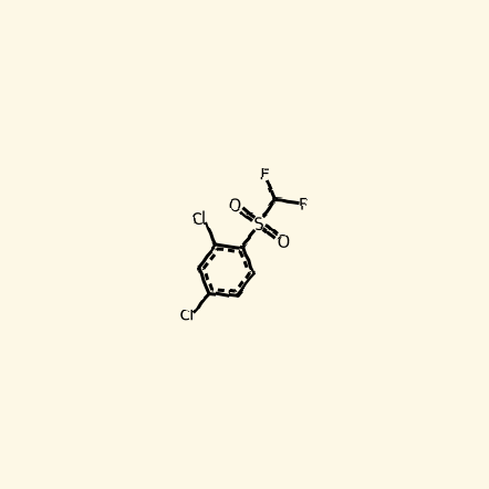 O=S(=O)(c1ccc(Cl)cc1Cl)C(F)F